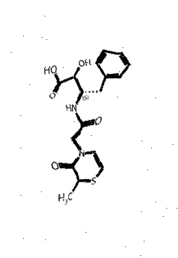 CC1SC=CN(CC(=O)N[C@@H](Cc2ccccc2)C(O)C(=O)O)C1=O